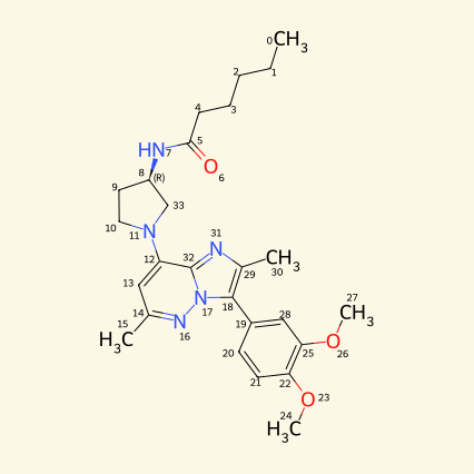 CCCCCC(=O)N[C@@H]1CCN(c2cc(C)nn3c(-c4ccc(OC)c(OC)c4)c(C)nc23)C1